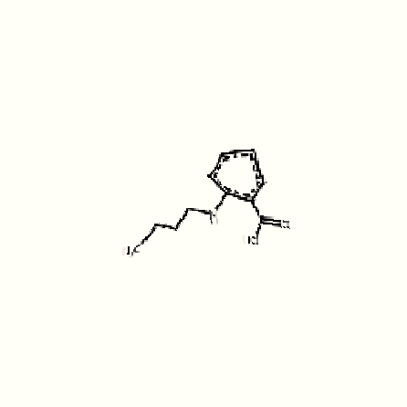 CCCCNc1ccccc1C(=O)O